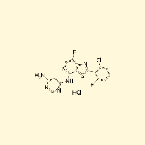 Cl.Nc1cc(Nc2ncc(F)c3nc(-c4c(F)cccc4Cl)sc23)ncn1